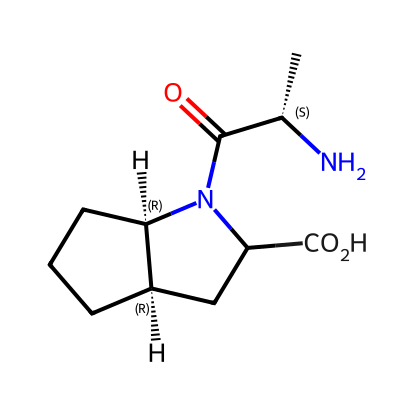 C[C@H](N)C(=O)N1C(C(=O)O)C[C@H]2CCC[C@H]21